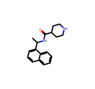 CC(NC(=O)C1CCNCC1)c1cccc2ccccc12